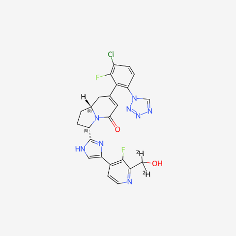 [2H]C([2H])(O)c1nccc(-c2c[nH]c([C@@H]3CC[C@@H]4CC(c5c(-n6cnnn6)ccc(Cl)c5F)=CC(=O)N43)n2)c1F